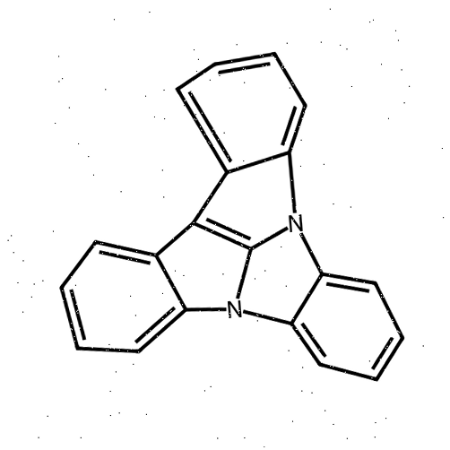 c1ccc2c(c1)c1c3ccccc3n3c4ccccc4n2c13